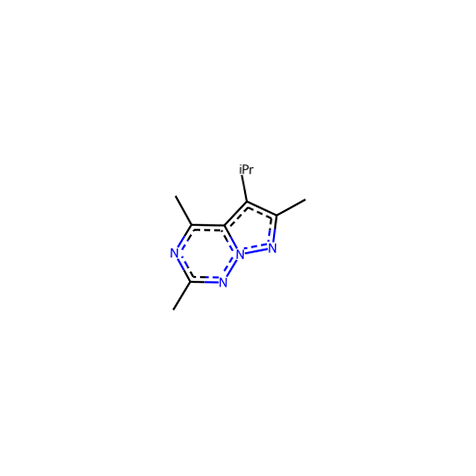 Cc1nc(C)c2c(C(C)C)c(C)nn2n1